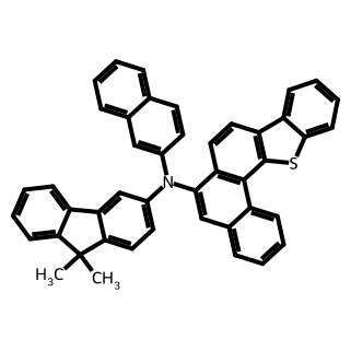 CC1(C)c2ccccc2-c2cc(N(c3ccc4ccccc4c3)c3cc4ccccc4c4c3ccc3c5ccccc5sc34)ccc21